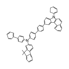 CC1(C)c2ccccc2-c2ccc(N(c3ccc(-c4ccccc4)cc3)c3ccc(-c4ccc(-c5ccc6c(c5)c5c7ccccc7ccc5n6C5=CC=CCC5)cc4)cc3)cc21